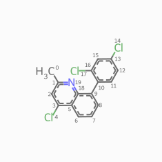 Cc1cc(Cl)c2cccc(-c3ccc(Cl)cc3Cl)c2n1